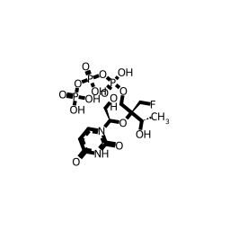 C[C@H](O)[C@@](CF)(COP(=O)(O)OP(=O)(O)OP(=O)(O)O)O[C@H](CO)n1ccc(=O)[nH]c1=O